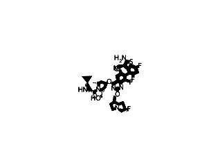 C[C@@H]1C[C@H](Oc2nc(OCC3CCN4C[C@H](F)CC34)nc3c(F)c(-c4c(F)cc(F)c5sc(N)c(C#N)c45)c(Cl)cc23)C[C@H](CO)N1C(=O)[C@@H]1N[C@H]1C1CC1